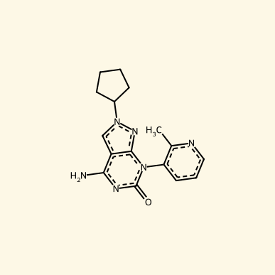 Cc1ncccc1-n1c(=O)nc(N)c2cn(C3CCCC3)nc21